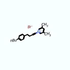 CCCCc1ccc(CCC#C[n+]2cc(C)cc(C)c2)cc1.[Br-]